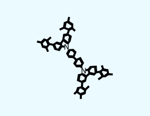 Cc1cc(C)c(-c2ccc3c(c2)c2cc(-c4cc(C)c(C)cc4C)ccc2n3-c2ccc(-c3ccc(-n4c5ccc(-c6c(C)cc(C)cc6C)cc5c5cc(-c6c(C)cc(C)cc6C)ccc54)cc3)cc2)c(C)c1